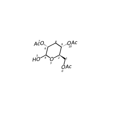 CC(=O)OC[C@H]1OC(O)[C@H](OC(C)=O)C[C@@H]1OC(C)=O